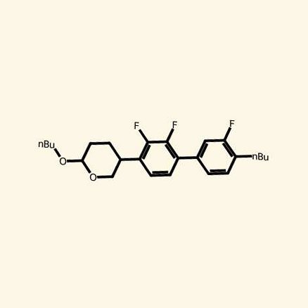 CCCCOC1CCC(c2ccc(-c3ccc(CCCC)c(F)c3)c(F)c2F)CO1